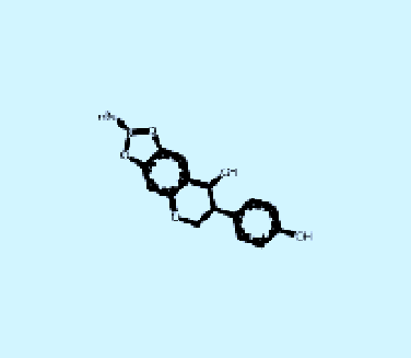 CCCCB1Oc2cc3c(cc2O1)C(O)C(c1ccc(O)cc1)CO3